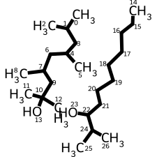 CC(C)CC(C)CC(C)CC(C)(C)O.CCCCCCCCC(O)C(C)C